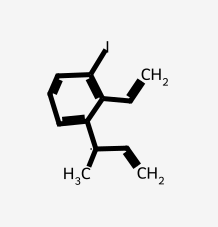 C=C[C](C)c1cccc(I)c1C=C